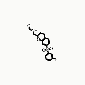 O=CNCC1CCc2ccc(S(=O)(=O)c3cccc(F)c3)cc2O1